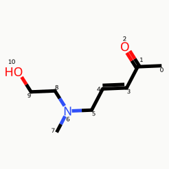 CC(=O)/C=C/CN(C)CCO